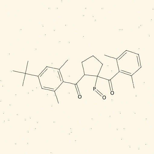 Cc1cc(C(C)(C)C)cc(C)c1C(=O)C1CCCC1(P=O)C(=O)c1c(C)cccc1C